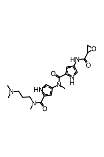 CN(C)CCCN(C)C(=O)c1cc(N(C)C(=O)c2cc(NC(=O)C3CO3)c[nH]2)c[nH]1